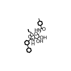 C=CCOC1O[C@H](CNC(=O)c2ccc(C)cc2)[C@@H](O)[C@H](O)[C@H]1NC(=O)c1cccc(-c2ccccc2)c1